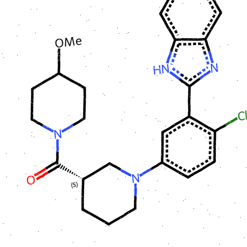 COC1CCN(C(=O)[C@H]2CCCN(c3ccc(Cl)c(-c4nc5ccccc5[nH]4)c3)C2)CC1